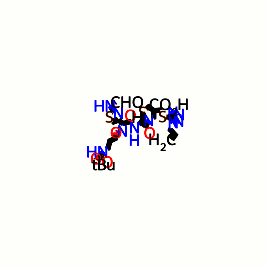 C=CCn1nnnc1SCC1(C(=O)O)CS[C@@H]2C(NC(=O)C(=NOCCCNC(=O)OC(C)(C)C)c3csc(NC=O)n3)C(=O)N2C1